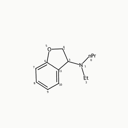 CCCN(CC)C1[C]Oc2ccccc21